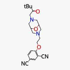 CC(C)(C)C(=O)CN1CC2CN(CCOc3ccc(C#N)cc3C#N)CC(C1)O2